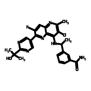 Cc1nc2cc(F)c(-c3cnc(C(C)(C)O)nc3)nc2c(NC(C)c2cccc(C(N)=O)c2)c1Cl